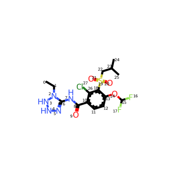 CCN1NNN=C1NC(=O)c1ccc(OC(F)F)c(S(=O)(=O)CC(C)C)c1Cl